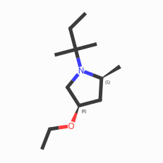 CCO[C@@H]1C[C@H](C)N(C(C)(C)CC)C1